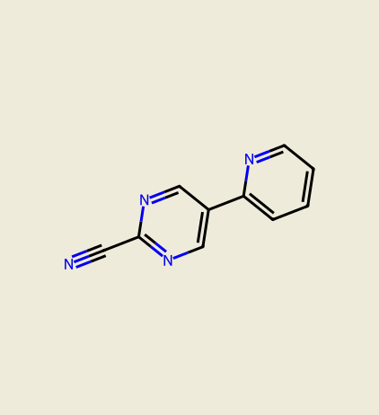 N#Cc1ncc(-c2ccccn2)cn1